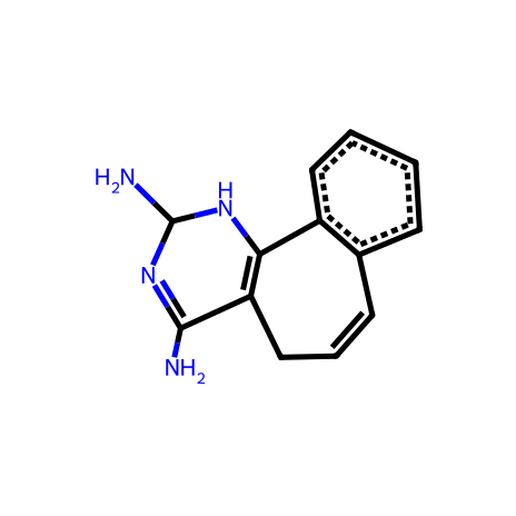 NC1=NC(N)NC2=C1CC=Cc1ccccc12